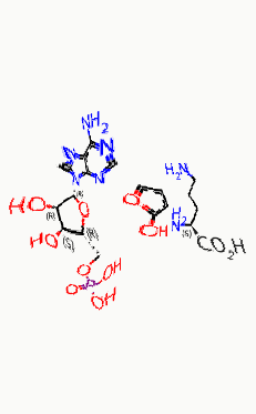 NCCC[C@H](N)C(=O)O.Nc1ncnc2c1ncn2[C@@H]1O[C@H](COP(=O)(O)O)[C@@H](O)[C@H]1O.Oc1ccco1